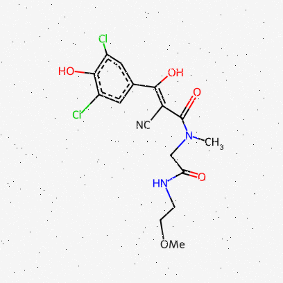 COCCNC(=O)CN(C)C(=O)/C(C#N)=C(\O)c1cc(Cl)c(O)c(Cl)c1